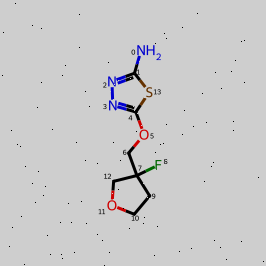 Nc1nnc(OCC2(F)CCOC2)s1